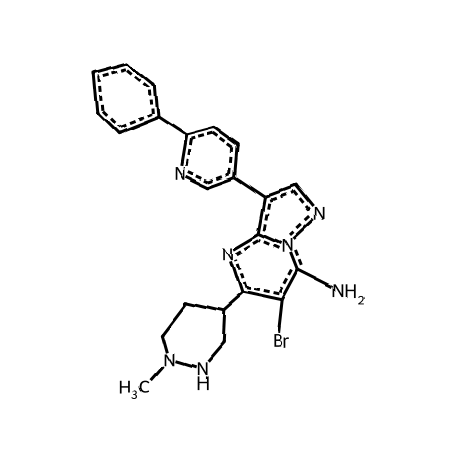 CN1CCC(c2nc3c(-c4ccc(-c5ccccc5)nc4)cnn3c(N)c2Br)CN1